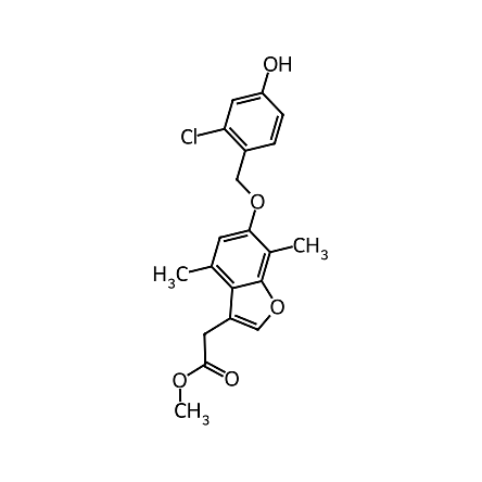 COC(=O)Cc1coc2c(C)c(OCc3ccc(O)cc3Cl)cc(C)c12